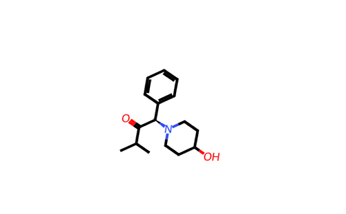 CC(C)C(=O)[C@@H](c1ccccc1)N1CCC(O)CC1